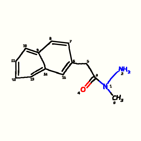 CN(N)C(=O)Cc1ccc2ccccc2c1